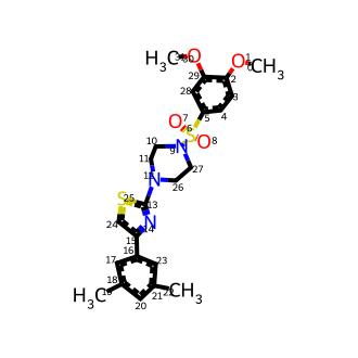 COc1ccc(S(=O)(=O)N2CCN(c3nc(-c4cc(C)cc(C)c4)cs3)CC2)cc1OC